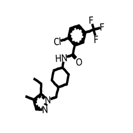 CCc1c(C)cnn1CC1CCC(NC(=O)c2cc(C(F)(F)F)ccc2Cl)CC1